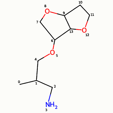 CC(CN)COC1COC2CCOC21